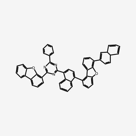 C1=CC2C=CC(c3cccc4c3oc3cccc(-c5ccc(-c6nc(-c7ccccc7)nc(-c7cccc8c7oc7ccccc78)n6)c6ccccc56)c34)=CC2C=C1